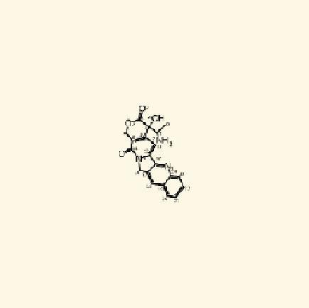 CC(N)[C@@]1(O)C(=O)OCc2c1cc1n(c2=O)Cc2cc3ccccc3nc2-1